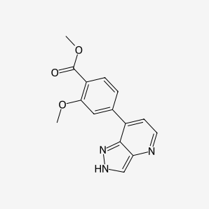 COC(=O)c1ccc(-c2ccnc3c[nH]nc23)cc1OC